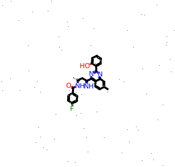 Cc1ccc2c(C(=N)C[C@@H](C)NC(=O)c3ccc(F)cc3)nc(-c3ccccc3O)nc2c1